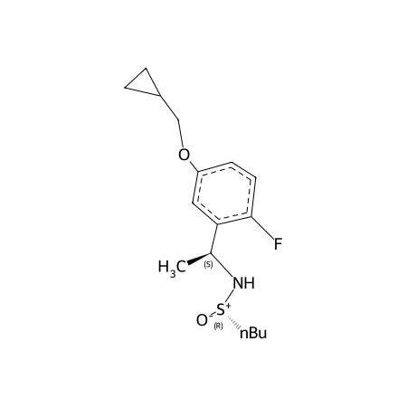 CCCC[S@+]([O-])N[C@@H](C)c1cc(OCC2CC2)ccc1F